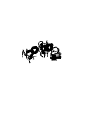 CC(C)(C)[Si](C)(C)O[C@H]1C[C@]2(C)O[C@@]1(C)[C@H]1C(=O)N(c3ccc(C#N)c(C(F)(F)F)c3)C(=O)[C@H]12